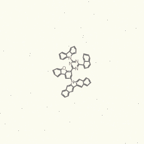 c1ccc2cc3c(cc2c1)c1cc2ccccc2cc1n3-c1cc(-c2nc(-c3cccc4ccccc34)nc(-n3c4ccccc4c4ccccc43)n2)c2oc3ccccc3c2c1